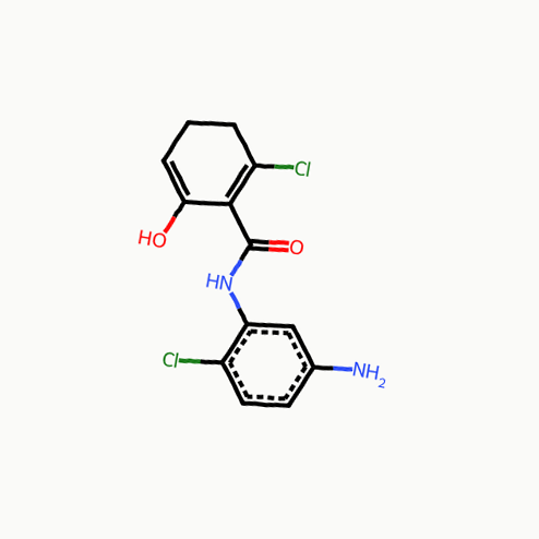 Nc1ccc(Cl)c(NC(=O)C2=C(Cl)CCC=C2O)c1